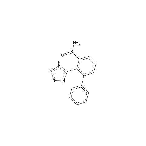 NC(=O)c1cccc(-c2ccccc2)c1-c1nnn[nH]1